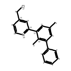 Cc1cc(-c2ccccc2)c(C)c(-c2cc(CCl)ccn2)c1